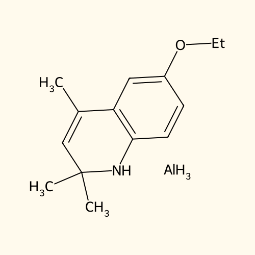 CCOc1ccc2c(c1)C(C)=CC(C)(C)N2.[AlH3]